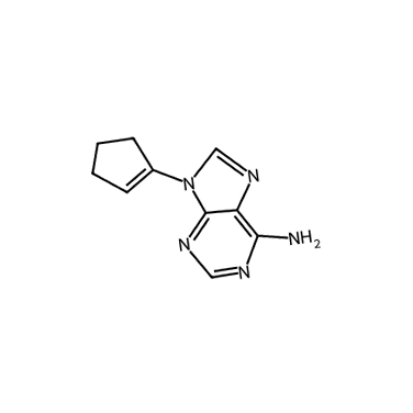 Nc1ncnc2c1ncn2C1=CCCC1